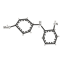 COc1ccc(Nc2ccccc2C#N)cc1